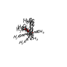 CCCCCCP(CCCCCC)C(P(CCCCCC)CCCCCC)C(C)(P(CCCCCC)CCCCCC)P(CCCCCC)CCCCCC